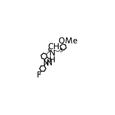 C/C=C(\NCCc1cccc(OC)c1)c1cccc2c1cnn2-c1ccc(F)cc1